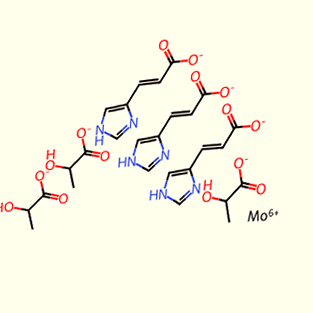 CC(O)C(=O)[O-].CC(O)C(=O)[O-].CC(O)C(=O)[O-].O=C([O-])C=Cc1c[nH]cn1.O=C([O-])C=Cc1c[nH]cn1.O=C([O-])C=Cc1c[nH]cn1.[Mo+6]